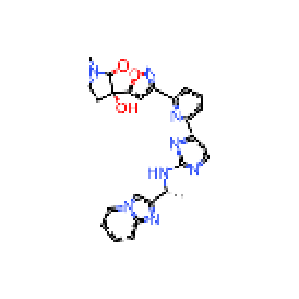 C[C@@H](Nc1nccc(-c2cccc(-c3cc([C@]4(O)CCN(C)C4=O)on3)n2)n1)c1cn2ccccc2n1